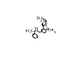 COc1ccc(CN[C@H](C)c2ccccc2)cc1-c1cn(C)cn1